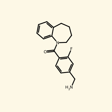 NCc1ccc(C(=O)N2CCCCc3ccccc32)c(F)c1